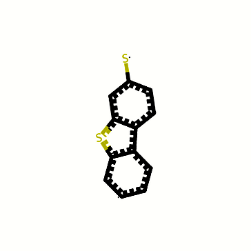 [S]c1ccc2c(c1)sc1c[c]ccc12